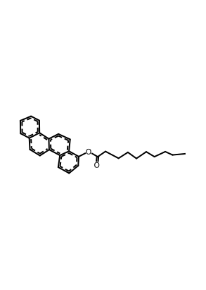 CCCCCCCCCC(=O)Oc1cccc2c1ccc1c3ccccc3ccc21